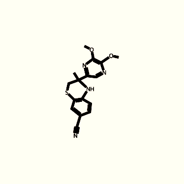 COc1ncc(C2(C)CSc3cc(C#N)ccc3N2)nc1OC